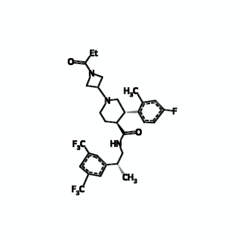 CCC(=O)N1CC(N2CC[C@H](C(=O)NC[C@H](C)c3cc(C(F)(F)F)cc(C(F)(F)F)c3)[C@@H](c3ccc(F)cc3C)C2)C1